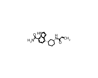 C=CC(=O)N[C@@H]1CCC[C@H](c2ccc(C(N)=O)c3[nH]ccc23)C1